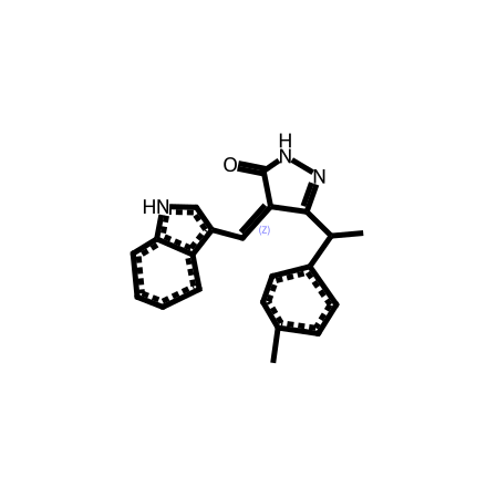 Cc1ccc(C(C)C2=NNC(=O)/C2=C\c2c[nH]c3ccccc23)cc1